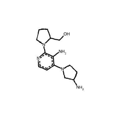 Nc1c(N2CCC(N)C2)ccnc1N1CCCC1CO